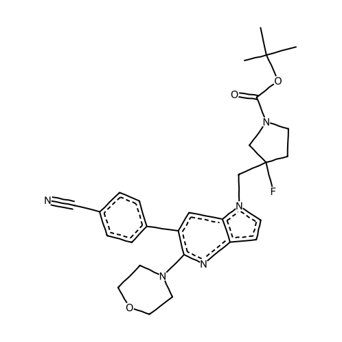 CC(C)(C)OC(=O)N1CCC(F)(Cn2ccc3nc(N4CCOCC4)c(-c4ccc(C#N)cc4)cc32)C1